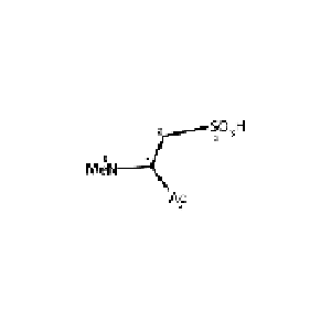 CNC(CS(=O)(=O)O)C(C)=O